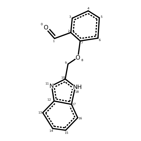 O=Cc1ccccc1OCc1nc2ccccc2[nH]1